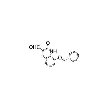 O=Cc1cc2cccc(OCc3ccccc3)c2[nH]c1=O